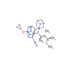 CC[C@H](C)[C@@H](C)[C@@H](C)C(c1[nH]ncc1C#N)N1CC2CC(C1)N2Cc1ccc(OC2CC2)nc1